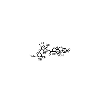 C[C@]12C=CC(=O)C=C1CC[C@@H]1[C@@H]2[C@@H](O)C[C@@]2(C)[C@H]1CC[C@]2(O)C(=O)COC1(CO)O[C@H](CO)[C@@H](O[C@H]2O[C@@H](CO)[C@@H](O)[C@@H](O)[C@@H]2O)[C@@H]1O